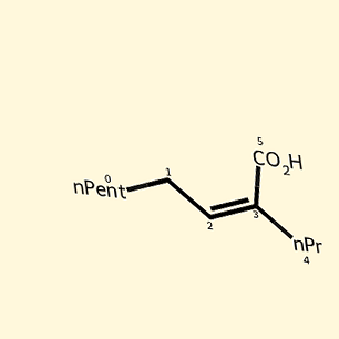 CCCCCCC=C(CCC)C(=O)O